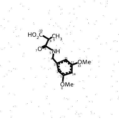 COc1cc(CNC(=O)C(C)C(=O)O)cc(OC)c1